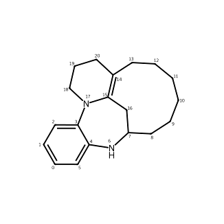 c1ccc2c(c1)NC1CCCCCCC3=C(C1)N2CCC3